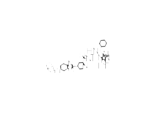 O=C(NCCN[C@H](c1ccccc1)c1nnn(C(F)F)n1)c1cc(-c2nc3ccc(O[C@H]4CCOC4)cc3o2)ccn1